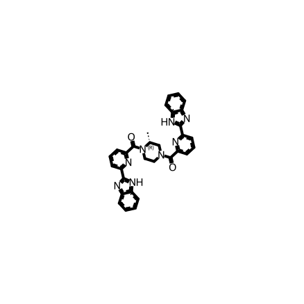 C[C@@H]1CN(C(=O)c2cccc(-c3nc4ccccc4[nH]3)n2)CCN1C(=O)c1cccc(-c2nc3ccccc3[nH]2)n1